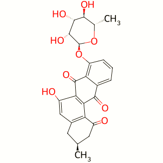 C[C@@H]1CC(=O)c2c(cc(O)c3c2C(=O)c2cccc(O[C@@H]4O[C@@H](C)[C@H](O)[C@@H](O)[C@H]4O)c2C3=O)C1